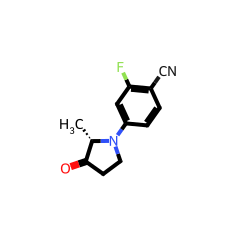 C[C@H]1C(=O)CCN1c1ccc(C#N)c(F)c1